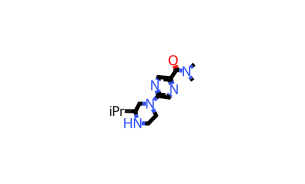 CC(C)C1CN(c2cnc(C(=O)N(C)C)cn2)CCN1